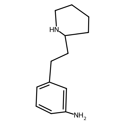 Nc1cccc(CCC2CCCCN2)c1